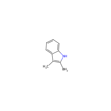 Bc1[nH]c2ccccc2c1C